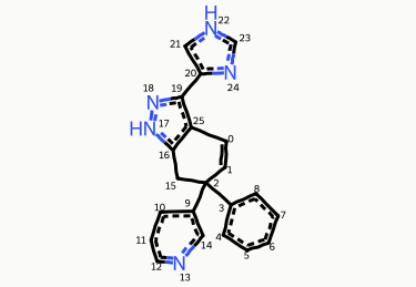 C1=CC(c2ccccc2)(c2cccnc2)Cc2[nH]nc(-c3c[nH]cn3)c21